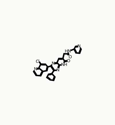 O=C(Cc1cc2nc(-c3cc(Cl)c4ncccc4c3)c(-c3ccccc3)nc2[nH]c1=O)Nc1cccnc1